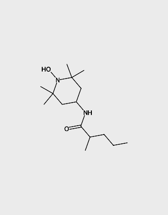 CCCC(C)C(=O)NC1CC(C)(C)N(O)C(C)(C)C1